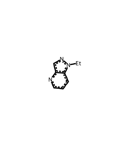 CCn1ncc2ncccc21